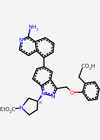 CCOC(=O)N1CC[C@H](n2nc(COc3ccccc3CC(=O)O)c3cc(-c4cccc5c(N)nccc45)ccc32)C1